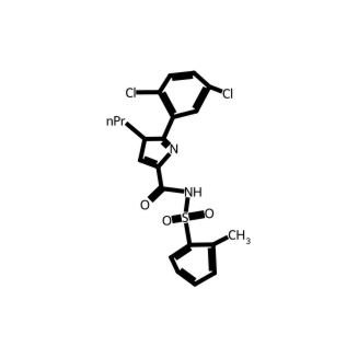 CCCC1C=C(C(=O)NS(=O)(=O)c2ccccc2C)N=C1c1cc(Cl)ccc1Cl